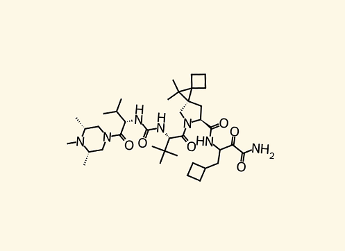 CC(C)[C@H](NC(=O)N[C@H](C(=O)N1C[C@]2(C[C@H]1C(=O)NC(CC1CCC1)C(=O)C(N)=O)C(C)(C)C21CCC1)C(C)(C)C)C(=O)N1C[C@@H](C)N(C)[C@@H](C)C1